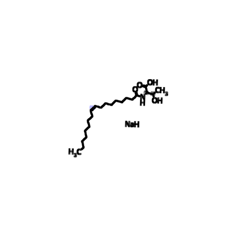 CCCCCCCC/C=C\CCCCCCCC(=O)N[C@H](C(=O)O)[C@@H](C)O.[NaH]